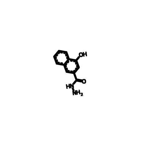 NNC(=O)c1cc(O)c2ccccc2c1